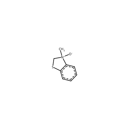 C[N+]1([O-])CSc2ccccc21